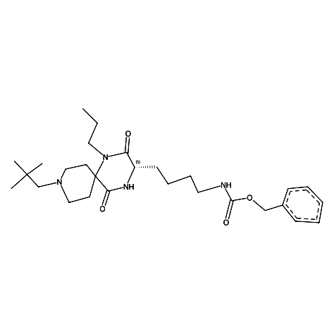 CCCN1C(=O)[C@H](CCCCNC(=O)OCc2ccccc2)NC(=O)C12CCN(CC(C)(C)C)CC2